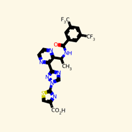 CC(NC(=O)c1cc(C(F)(F)F)cc(C(F)(F)F)c1)c1nccnc1-c1ncn(-c2nc(C(=O)O)cs2)n1